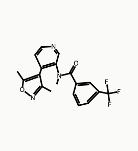 Cc1noc(C)c1-c1ccncc1N(C)C(=O)c1cccc(C(F)(F)F)c1